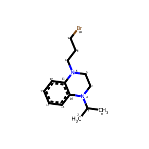 CC(C)N1CCN(CCCBr)c2ccccc21